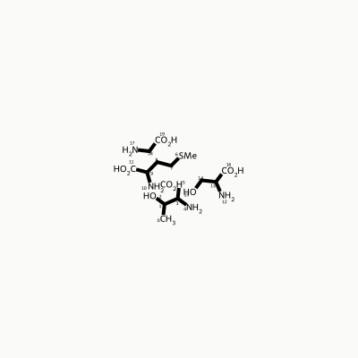 CC(O)C(N)C(=O)O.CSCCC(N)C(=O)O.NC(CO)C(=O)O.NCC(=O)O